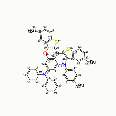 CC(C)(C)c1ccc(N2c3cc(N(c4ccccc4)c4ccccc4)cc4c3B(c3sc5ccc(C(C)(C)C)cc5c3O4)c3sc4ccc(C(C)(C)C)cc4c32)cc1